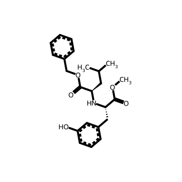 COC(=O)[C@H](Cc1cccc(O)c1)N[C@H](CC(C)C)C(=O)OCc1ccccc1